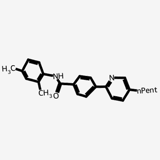 CCCCCc1ccc(-c2ccc(C(=O)Nc3ccc(C)cc3C)cc2)nc1